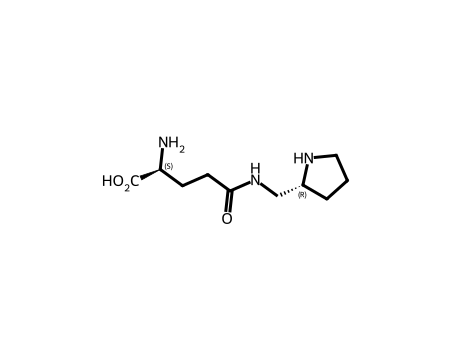 N[C@@H](CCC(=O)NC[C@H]1CCCN1)C(=O)O